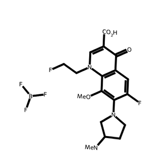 CNC1CCN(c2c(F)cc3c(=O)c(C(=O)O)cn(CCF)c3c2OC)C1.FB(F)F